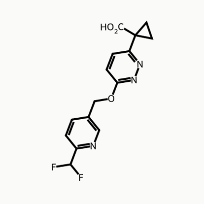 O=C(O)C1(c2ccc(OCc3ccc(C(F)F)nc3)nn2)CC1